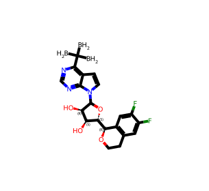 BC(B)(B)c1ncnc2c1ccn2C1O[C@H]([C@@H]2OCCc3cc(F)c(F)cc32)[C@@H](O)[C@H]1O